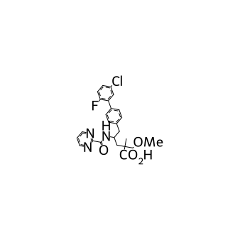 COCC(C)(CC(Cc1ccc(-c2cc(Cl)ccc2F)cc1)NC(=O)c1ncccn1)C(=O)O